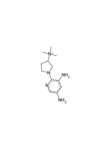 C[N+](C)(C)C1CCN(c2ncc(N)cc2N)C1